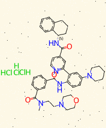 CN(CCN1CCOCC1)C(=O)c1cccc(C(=O)Nc2ccc(N3CCCCC3)cc2-c2cc(C(=O)N[C@H]3CCCc4ccccc43)ccn2)c1.Cl.Cl.Cl